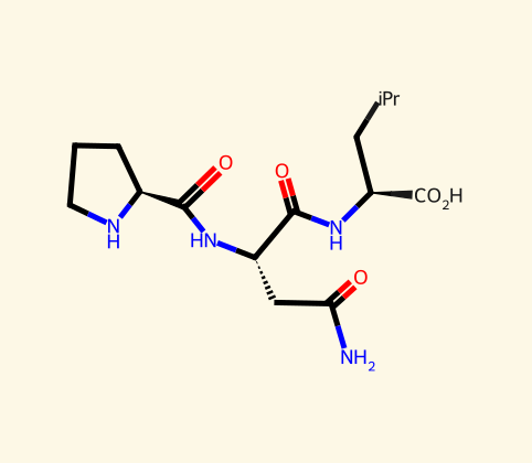 CC(C)C[C@H](NC(=O)[C@H](CC(N)=O)NC(=O)[C@@H]1CCCN1)C(=O)O